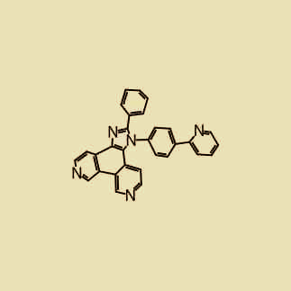 c1ccc(-c2nc3c4ccncc4c4cnccc4c3n2-c2ccc(-c3ccccn3)cc2)cc1